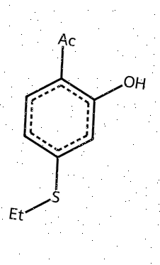 CCSc1ccc(C(C)=O)c(O)c1